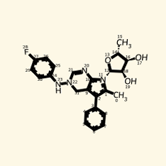 Cc1c(-c2ccccc2)c2c(n1[C@@H]1O[C@H](C)[C@@H](O)[C@H]1O)N=CN(Nc1ccc(F)cc1)C2